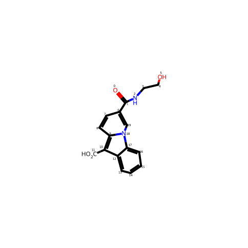 O=C(NCCO)c1ccc2c(C(=O)O)c3ccccc3n2c1